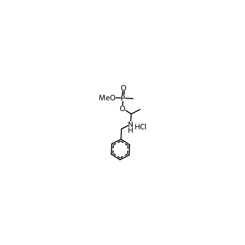 COP(C)(=O)OC(C)NCc1ccccc1.Cl